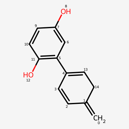 C=C1C=CC(c2cc(O)ccc2O)=CC1